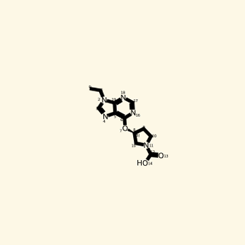 CCn1cnc2c(O[C@H]3CCN(C(=O)O)C3)ncnc21